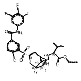 CCOC(=O)[C@@H](NC[C@@]1(O)C2C[C@@H](S(=O)(=O)c3cc(C(=O)Nc4cc(F)c(F)c(F)c4)ccc3Cl)C[C@@H]1[C@@H](C)C2)C(C)C